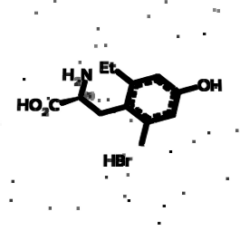 Br.CCc1cc(O)cc(C)c1C[C@H](N)C(=O)O